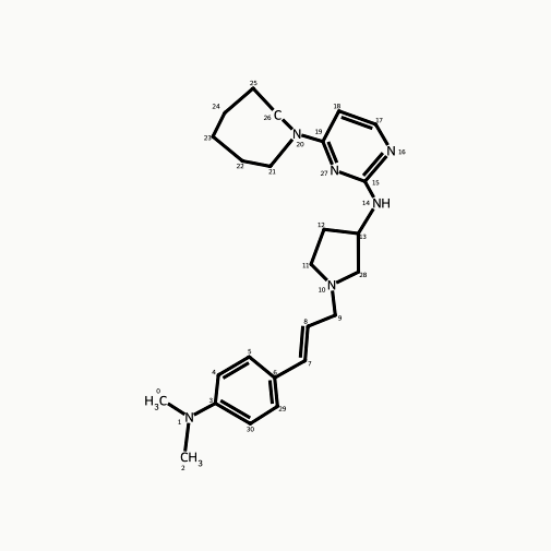 CN(C)c1ccc(C=CCN2CCC(Nc3nccc(N4CCCCCC4)n3)C2)cc1